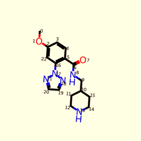 COc1ccc(C(=O)NCC2CCNCC2)c(-n2nccn2)c1